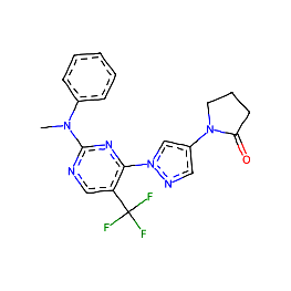 CN(c1ccccc1)c1ncc(C(F)(F)F)c(-n2cc(N3CCCC3=O)cn2)n1